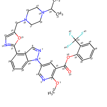 COc1ncc(-n2ncc3c(-c4ncc(CN5CCN(C(C)C)CC5)o4)cccc32)cc1C(=O)Oc1ccccc1C(F)(F)F